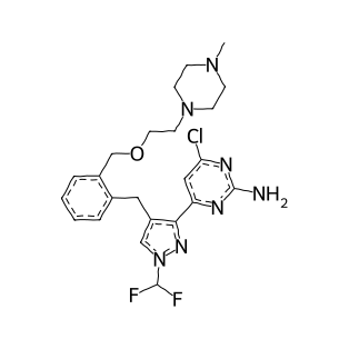 CN1CCN(CCOCc2ccccc2Cc2cn(C(F)F)nc2-c2cc(Cl)nc(N)n2)CC1